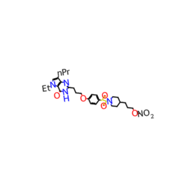 CCCc1cn(CC)c2c(=O)[nH]c(CCCOc3ccc(S(=O)(=O)N4CCC(CCCO[N+](=O)[O-])CC4)cc3)nc12